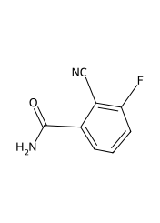 N#Cc1c(F)cccc1C(N)=O